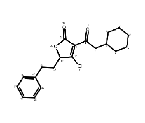 O=C(CC1CCCCC1)C1=C(O)C(CCc2ccccc2)OC1=O